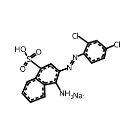 Nc1c(N=Nc2ccc(Cl)cc2Cl)cc(S(=O)(=O)O)c2ccccc12.[Na]